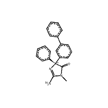 CN1C(=O)[C@@](c2ccccc2)(c2cccc(-c3ccccc3)c2)N=C1N